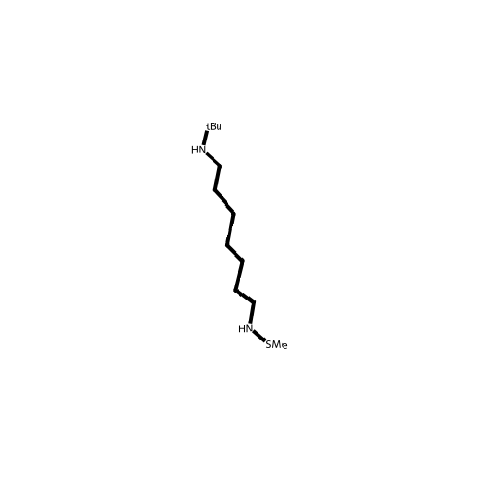 CSNCCCCCCCNC(C)(C)C